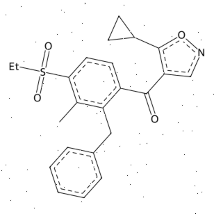 CCS(=O)(=O)c1ccc(C(=O)c2cnoc2C2CC2)c(Cc2ccccc2)c1C